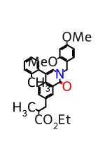 CCOC(=O)C(C)Cc1ccc2c(-c3ccccc3C)cn(Cc3ccc(OC)cc3OC)c(=O)c2c1